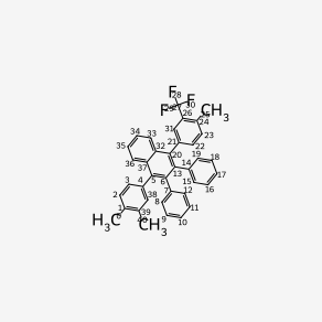 Cc1ccc(-c2c(-c3ccccc3)c(-c3ccccc3)c(-c3ccc(C)c(C(F)(F)F)c3)c3ccccc23)cc1C